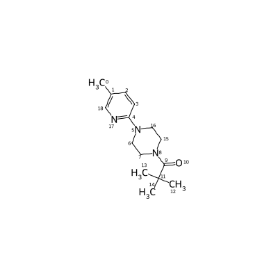 Cc1ccc(N2CCN(C(=O)C(C)(C)C)CC2)nc1